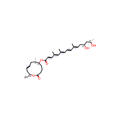 CC(=C\C=C\C(C)=C\C[C@H](O)C[C@H](C)O)/C=C(C)/C=C/C(=O)O[C@H]1CCCC(=O)O[C@@H](C(C)C)C/C=C/C[C@@H]1C